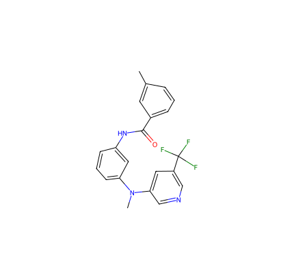 Cc1cccc(C(=O)Nc2cccc(N(C)c3cncc(C(F)(F)F)c3)c2)c1